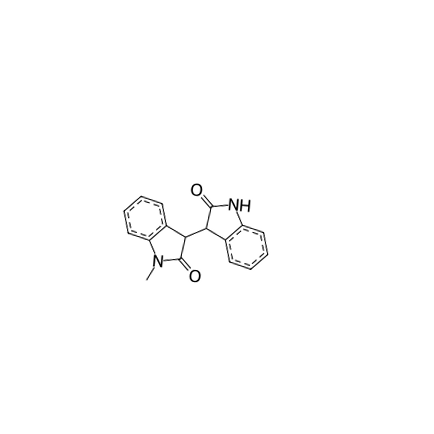 CN1C(=O)C(C2C(=O)Nc3ccccc32)c2ccccc21